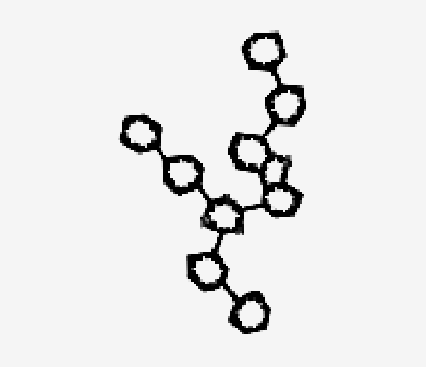 c1ccc(-c2ccc(-c3nc(-c4cccc(-c5ccccc5)c4)nc(-c4cccc5sc6c(-c7cccc(-c8ccccc8)c7)cccc6c45)n3)cc2)cc1